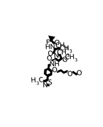 CO[C@@H]1C[C@@H](C(=O)NCc2ccc(-c3scnc3C)cc2OCCCCOCC=O)N(C(=O)[C@@H](NC(=O)C2(F)CC2)C(C)(C)C)C1